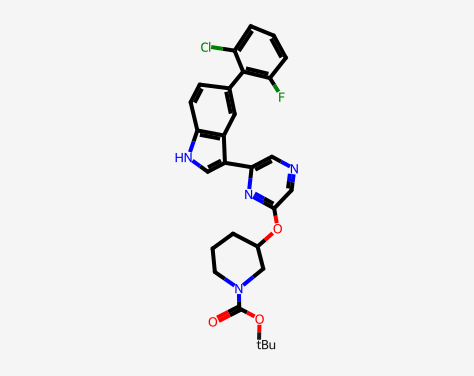 CC(C)(C)OC(=O)N1CCCC(Oc2cncc(-c3c[nH]c4ccc(-c5c(F)cccc5Cl)cc34)n2)C1